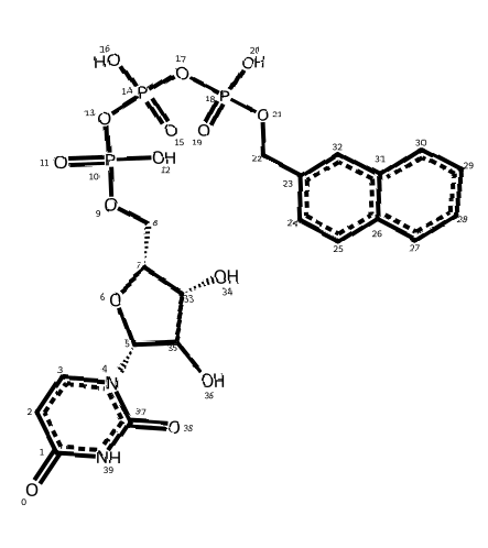 O=c1ccn([C@@H]2O[C@H](COP(=O)(O)OP(=O)(O)OP(=O)(O)OCc3ccc4ccccc4c3)[C@H](O)C2O)c(=O)[nH]1